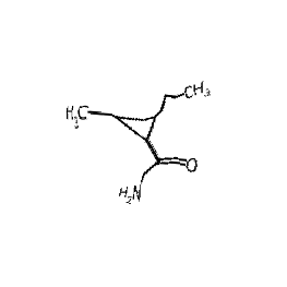 CCC1C(C)C1C(N)=O